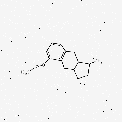 CC1CCC2Cc3c(cccc3OCC(=O)O)CC12